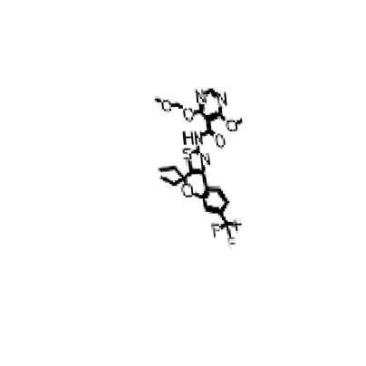 CCC1(CC)Oc2cc(C(F)(F)F)ccc2-c2nc(NC(=O)c3c(OC)ncnc3OCOC)sc21